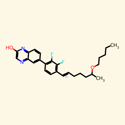 CCCCCOC(C)CCC/C=C/c1ccc(-c2ccc3nc(O)cnc3c2)c(F)c1F